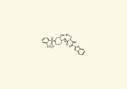 CC(C)CC(NC(=O)c1cc2ccccc2o1)C(=O)NC1CCCN(S(=O)(=O)c2ccccc2C(=O)O)CC1O